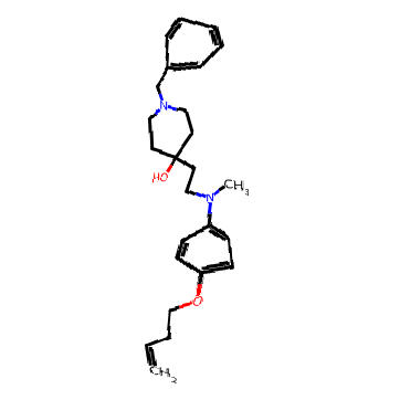 C=CCCOc1ccc(N(C)CCC2(O)CCN(Cc3ccccc3)CC2)cc1